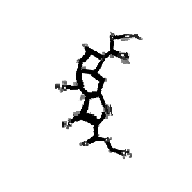 CCOC(=O)c1[nH]c2cc3c(ccn3C(=O)OC)c(C)c2c1C